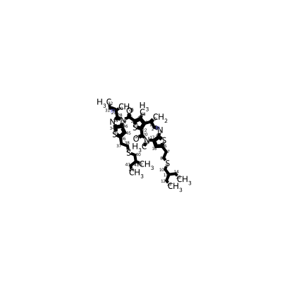 C=C1/C=N/c2sc(CCSCC(CC)CC)cc2N(C)C(=O)c2sc(C(=O)n3c(/C(C)=C/C)nc4sc(CCSCC(C)CC)cc43)c(C)c21